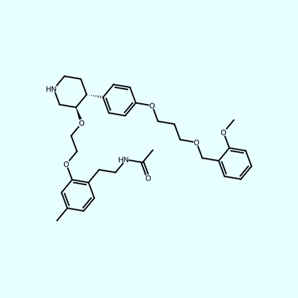 COc1ccccc1COCCCOc1ccc([C@H]2CCNC[C@@H]2OCCOc2cc(C)ccc2CCNC(C)=O)cc1